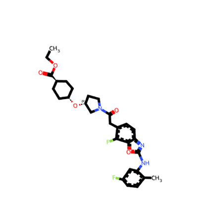 CCOC(=O)[C@H]1CC[C@H](O[C@@H]2CCN(C(=O)Cc3ccc4nc(Nc5cc(F)ccc5C)oc4c3F)C2)CC1